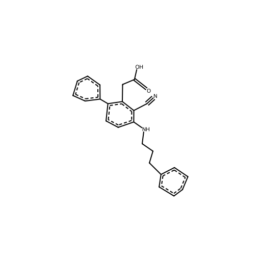 N#Cc1c(NCCCc2ccccc2)ccc(-c2ccccc2)c1CC(=O)O